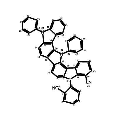 N#Cc1ccccc1-n1c2ccc3c4ccc5c(c6ccccc6n5-c5ccccc5)c4n(-c4ccccc4)c3c2c2cccc(C#N)c21